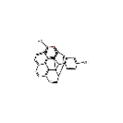 Oc1ccc(C(c2ccc(O)cc2)C23c4c5ccc6ccc7ccc(c2c7c46)C=CC3C=C5)cc1